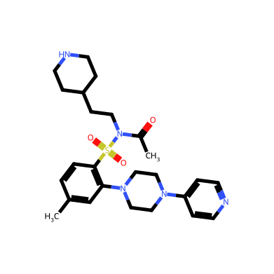 CC(=O)N(CCC1CCNCC1)S(=O)(=O)c1ccc(C)cc1N1CCN(c2ccncc2)CC1